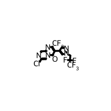 O=c1c(-c2cnn(CC(F)(F)C(F)(F)F)c2)c(C(F)(F)F)nc2cnc(Cl)cn12